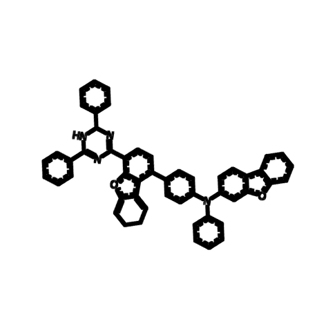 C1=c2oc3c(C4=NC(c5ccccc5)NC(c5ccccc5)=N4)ccc(-c4ccc(N(c5ccccc5)c5ccc6c(c5)oc5ccccc56)cc4)c3c2=CCC1